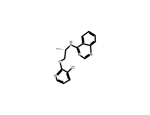 C[C@@H](COc1ncccc1Cl)Nc1ncnc2ccccc12